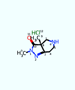 CN1N=C2CCNC[C@@]2(C)C1=O.Cl